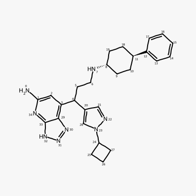 Nc1cc(C(CCN[C@H]2CC[C@H](c3ccccc3)CC2)c2cnn(C3CCC3)c2)c2nn[nH]c2n1